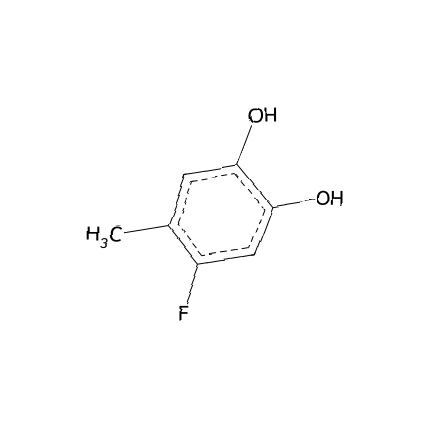 Cc1cc(O)c(O)cc1F